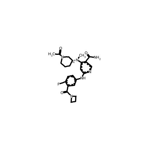 CC(=O)N1CCC[C@@H](N(C)c2cc(Nc3ccc(F)c(C(=O)N4CCC4)c3)ncc2C(N)=O)C1